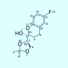 CC1(C)OC[C@H]([C@]2(O)CCc3cc(F)ccc3O2)O1